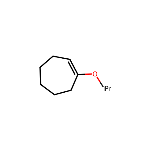 CC(C)OC1=CCCCCC1